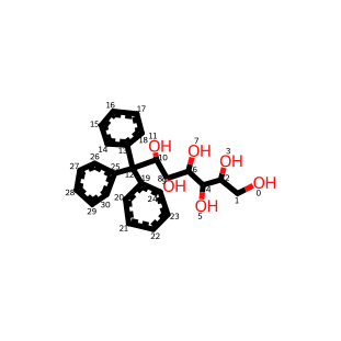 OCC(O)C(O)C(O)C(O)C(O)C(c1ccccc1)(c1ccccc1)c1ccccc1